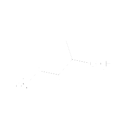 CC(CSN=O)C(=O)O